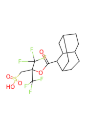 O=C(OC(CS(=O)(=O)O)(C(F)(F)F)C(F)(F)F)C1C2CCC3CCC(C2)CC31